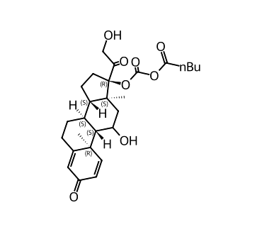 CCCCC(=O)OC(=O)O[C@]1(C(=O)CO)CC[C@H]2[C@@H]3CCC4=CC(=O)C=C[C@]4(C)[C@H]3C(O)C[C@@]21C